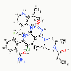 C=CC(=O)N1CC(C)N(c2nc(=O)n(-c3c(C)ccnc3C(C)C)c3nc(-c4c(F)cccc4C(N)=O)c(Cl)cc23)CC1C